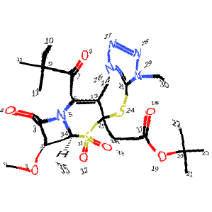 CO[C@H]1C(=O)N2C(C(=O)C(C)(C)C)=C(C)C(CC(=O)OC(C)(C)C)(Sc3nnnn3C)S(=O)(=O)[C@@H]12